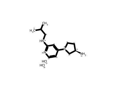 CC(C)CNc1cc(N2CC[C@@H](N)C2)ccn1.Cl.Cl